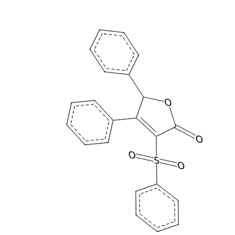 O=C1OC(c2ccccc2)C(c2ccccc2)=C1S(=O)(=O)c1ccccc1